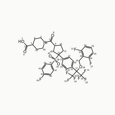 O=C(O)C1CCN(C(=O)C2CCC(c3ccc(C(OCc4c(F)cccc4F)(C(F)(F)F)C(F)(F)F)cc3)(S(=O)(=O)c3ccc(F)cc3)C2)CC1